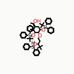 C=C1C(=C(C)O)CC(O[Si](c2ccccc2)(c2ccccc2)C(C)(C)C)C(OCCC(O[SiH](c2ccccc2)c2ccccc2)C(C)(C)C)C1O[Si](c1ccccc1)(c1ccccc1)C(C)(C)C